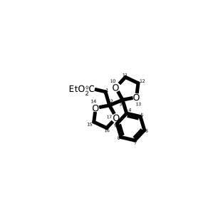 CCOC(=O)CC1(C2(c3ccccc3)OCCO2)OCCO1